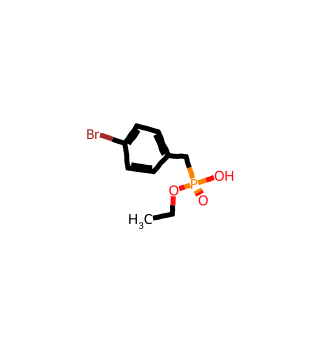 CCOP(=O)(O)Cc1ccc(Br)cc1